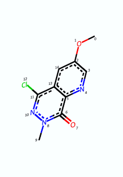 COc1cnc2c(=O)n(C)nc(Cl)c2c1